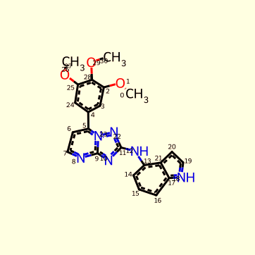 COc1cc(-c2ccnc3nc(Nc4cccc5[nH]ccc45)nn23)cc(OC)c1OC